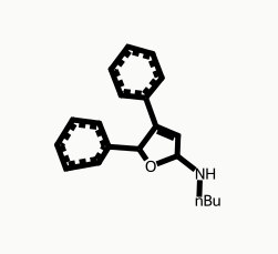 CCCCNC1C=C(c2ccccc2)C(c2ccccc2)O1